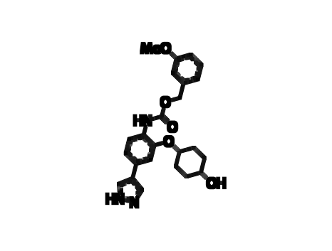 COc1cccc(COC(=O)Nc2ccc(-c3cn[nH]c3)cc2OC2CCC(O)CC2)c1